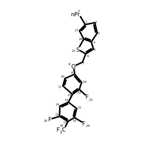 CCCc1ccc2cc(COc3ccc(-c4cc(F)c(C(F)(F)F)c(F)c4)c(F)c3)sc2c1